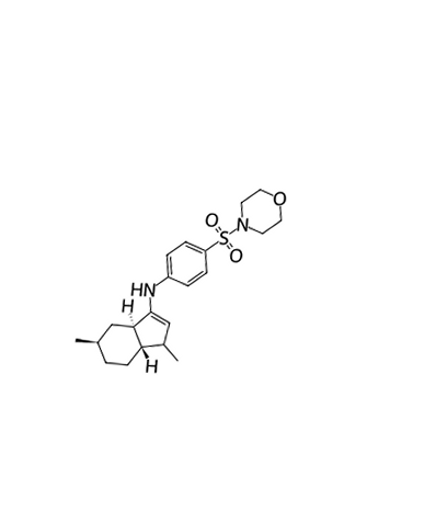 CC1C=C(Nc2ccc(S(=O)(=O)N3CCOCC3)cc2)[C@@H]2C[C@H](C)CC[C@@H]12